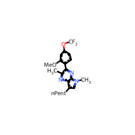 CCCCCc1cn(C)c2nc(-c3ccc(OC(F)(F)F)cc3OC)c(C)nc12